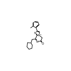 Cc1ccccc1C1=C[N+]2CC(=O)N=C(CC3CCCCC3)C2=N1